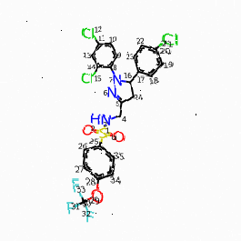 O=S(=O)(NCC1=NN(c2ccc(Cl)cc2Cl)C(c2ccc(Cl)cc2)C1)c1ccc(OC(F)(F)F)cc1